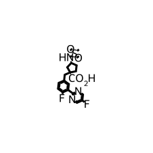 CS(=O)(=O)N[C@H]1CC[C@](Cc2ccc(F)c(-c3ncc(F)cn3)c2)(C(=O)O)C1